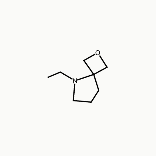 CCN1CCCC12COC2